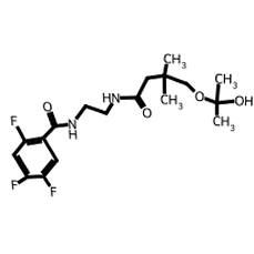 CC(C)(COC(C)(C)O)CC(=O)NCCNC(=O)c1cc(F)c(F)cc1F